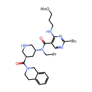 COCCCNc1nc(C(C)(C)C)ncc1C(=O)N(CC(C)C)[C@@H]1CNC[C@H](C(=O)N2CCc3ccccc3C2)C1